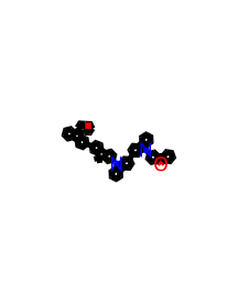 CC1(C)c2cc(-c3ccc4c(c3)C3(c5ccccc5-4)C4CC5CC(C4)CC3C5)ccc2-c2ccc(-n3c4ccccc4c4ccc(-c5ccc6c7ccccc7n(-c7ccc8oc9ccccc9c8c7)c6c5)cc43)cc21